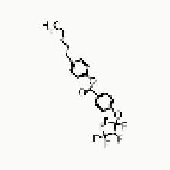 CCCCCc1ccc(OC(=O)c2ccc(OC(F)(F)C(F)C(F)(F)F)cc2)cc1